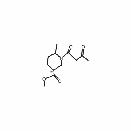 COC(=O)[C@@H]1CCC(C)N(C(=O)CC(C)=O)C1